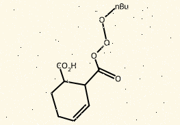 CCCCOOOC(=O)C1C=CCCC1C(=O)O